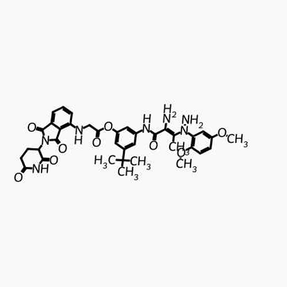 COc1ccc(OC)c(N(N)/C(C)=C(\N)C(=O)Nc2cc(OC(=O)CNc3cccc4c3C(=O)N(C3CCC(=O)NC3=O)C4=O)cc(C(C)(C)C)c2)c1